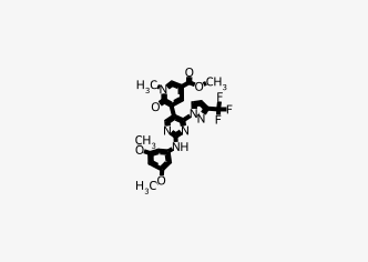 COC(=O)c1cc(-c2cnc(Nc3cc(OC)cc(OC)c3)nc2-n2ccc(C(F)(F)F)n2)c(=O)n(C)c1